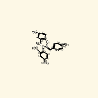 CC(C)(C)c1ccc([O][Ti](=[CH]c2ccccn2)[O]c2ccc(C(C)(C)C)cc2C(C)(C)C)c(C(C)(C)C)c1.Cl.Cl